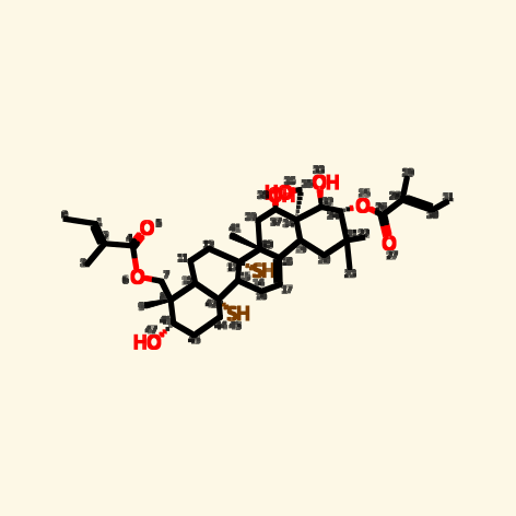 C/C=C(\C)C(=O)OC[C@]1(C)C2CC[C@]3(S)C(CC=C4C5CC(C)(C)[C@@H](OC(=O)/C(C)=C/C)[C@H](O)[C@]5(CO)[C@H](O)C[C@]43C)[C@@]2(S)CC[C@@H]1O